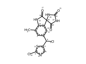 Cc1cc(C(Cl)c2cnc(Cl)s2)cc2c1NC(=O)C21NC(=O)NC1=O